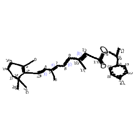 CC1=C(/C=C/C(C)=C/C=C/C(C)=C/C(=O)OC(C)c2ccccc2)C(C)(C)CCC1